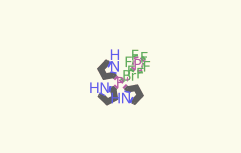 Br[P+](c1ccc[nH]1)(c1ccc[nH]1)c1ccc[nH]1.F[P-](F)(F)(F)(F)F